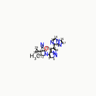 C[C@@H]1CN(c2ccnn3cc(-c4nccn5ccnc45)cc23)C(=O)[C@]1(C#N)C1CC1